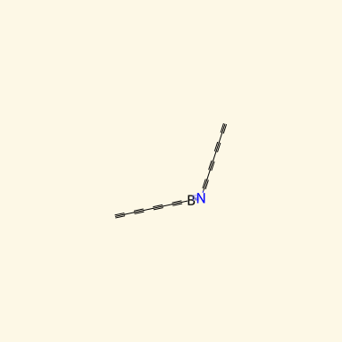 C#CC#CC#CC#C/B=N/C#CC#CC#CC#C